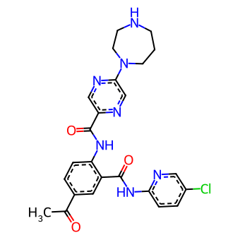 CC(=O)c1ccc(NC(=O)c2cnc(N3CCCNCC3)cn2)c(C(=O)Nc2ccc(Cl)cn2)c1